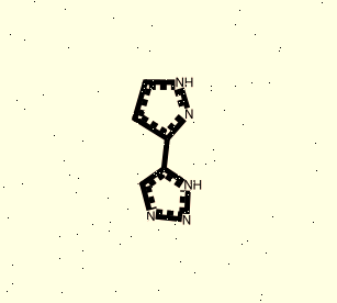 [c]1nn[nH]c1-c1cc[nH]n1